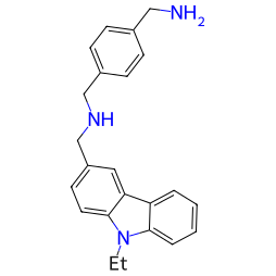 CCn1c2ccccc2c2cc(CNCc3ccc(CN)cc3)ccc21